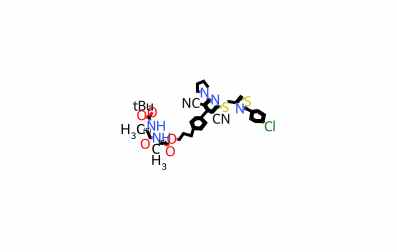 C[C@H](NC(=O)OC(C)(C)C)C(=O)N[C@@H](C)C(=O)OCCCc1ccc(-c2c(C#N)c(SCc3csc(-c4ccc(Cl)cc4)n3)nc(N3CCCC3)c2C#N)cc1